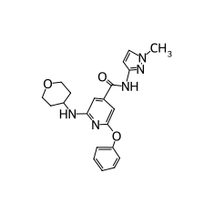 Cn1ccc(NC(=O)c2cc(NC3CCOCC3)nc(Oc3ccccc3)c2)n1